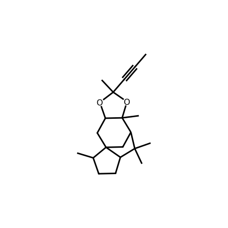 CC#CC1(C)OC2CC34CC(C(C)(C)C3CCC4C)C2(C)O1